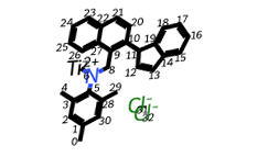 Cc1cc(C)c([N]([Ti+2])Cc2c(C3C=Cc4ccccc43)ccc3ccccc23)c(C)c1.[Cl-].[Cl-]